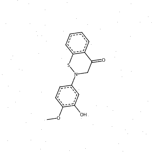 COc1ccc(N2CC(=O)c3ccccc3S2)cc1O